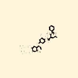 COc1cc2nccc(Oc3ccc(NC(=O)c4cc(C)nn(-c5ccccc5)c4=O)c(Cl)c3)c2cc1OC